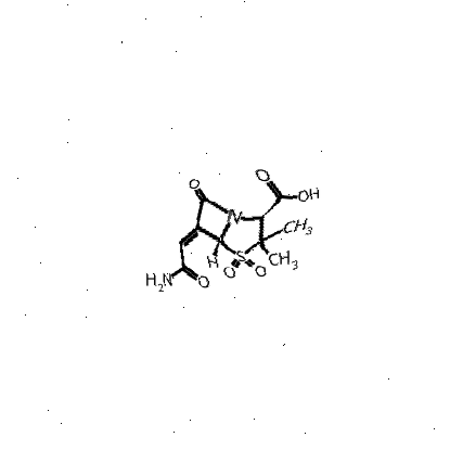 CC1(C)[C@H](C(=O)O)N2C(=O)/C(=C/C(N)=O)[C@H]2S1(=O)=O